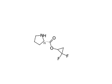 O=C(OC1CC1(F)F)[C@@H]1CCCN1